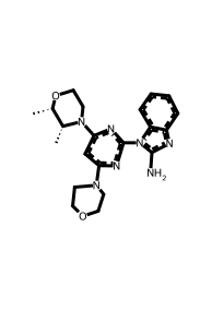 C[C@@H]1OCCN(c2cc(N3CCOCC3)nc(-n3c(N)nc4ccccc43)n2)[C@@H]1C